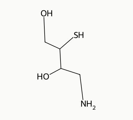 NCC(O)C(S)CO